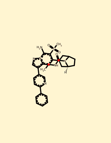 CCNC(=O)N1C2CC[C@H]1CC(c1nc3c(-c4ccc(-c5ccccc5)nc4)cnn3c(N)c1S(C)(=O)=O)C2